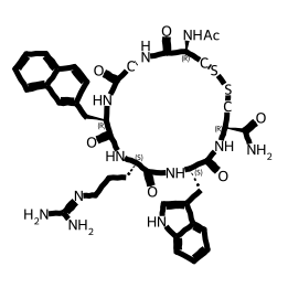 CC(=O)N[C@H]1CSSC[C@@H](C(N)=O)NC(=O)[C@H](Cc2c[nH]c3ccccc23)NC(=O)[C@H](CCCN=C(N)N)NC(=O)[C@@H](Cc2ccc3ccccc3c2)NC(=O)CNC1=O